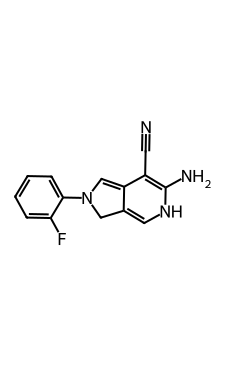 N#CC1=C(N)NC=C2CN(c3ccccc3F)C=C21